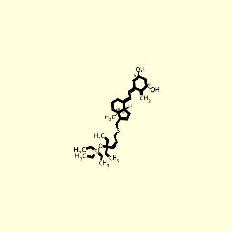 C=C1C(=CC=C2CCC[C@]3(C)C(CSC/C=C\C(CC)(CC)O[Si](CC)(CC)CC)=CC[C@@H]23)C[C@@H](O)C[C@@H]1O